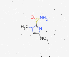 Cn1cc([N+](=O)[O-])nc1[S+](N)[O-]